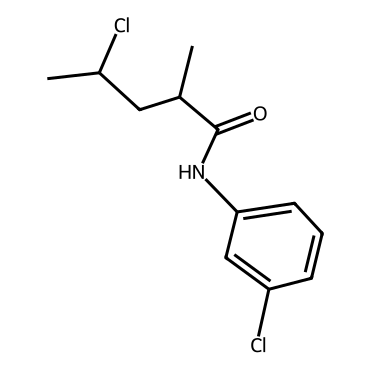 CC(Cl)CC(C)C(=O)Nc1cccc(Cl)c1